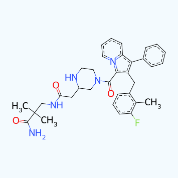 Cc1c(F)cccc1Cc1c(-c2ccccc2)c2ccccn2c1C(=O)N1CCNC(CC(=O)NCC(C)(C)C(N)=O)C1